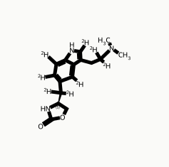 [2H]c1[nH]c2c([2H])c([2H])c(C([2H])([2H])[C@H]3COC(=O)N3)c([2H])c2c1CC([2H])([2H])N(C)C